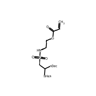 C=CC(=O)OCCNS(=O)(=O)CC(CCCCCC)CCCCCCCCCC